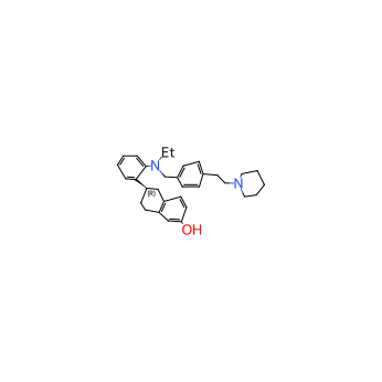 CCN(Cc1ccc(CCN2CCCCC2)cc1)c1ccccc1[C@@H]1CCc2cc(O)ccc2C1